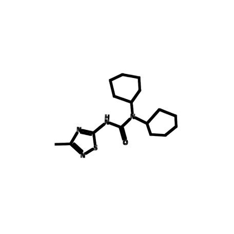 Cc1nsc(NC(=O)N(C2CCCCC2)C2CCCCC2)n1